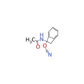 CC(=O)NC1(OC#N)Cc2ccccc21